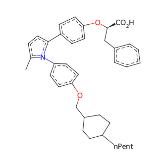 CCCCCC1CCC(COc2ccc(-n3c(C)ccc3-c3ccc(O[C@H](Cc4ccccc4)C(=O)O)cc3)cc2)CC1